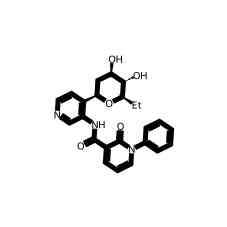 CC[C@H]1O[C@@H](c2ccncc2NC(=O)c2cccn(-c3ccccc3)c2=O)C[C@@H](O)[C@@H]1O